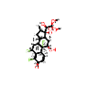 COC(OC)C(=O)[C@@]1(O)C(C)C[C@H]2[C@@H]3CC(F)C4=C(F)C(=O)C=C[C@]4(C)[C@@]3(F)C(O)C[C@@]21C